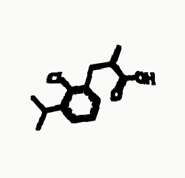 CC(Cc1cccc(C(C)C)c1Cl)C(=O)O